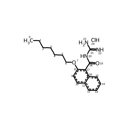 CCCCCCCOc1ccc2ccccc2c1C(=O)NC(=N)N.Cl